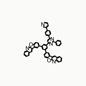 c1ccc(-c2nc(-c3ccc(-c4cccnc4)cc3)cc(-c3cc(-c4ccc5oc6nc7ccccc7cc6c5c4)cc(-c4ccc5oc6nc7ccccc7cc6c5c4)c3)n2)cc1